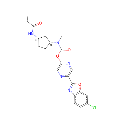 CCC(=O)N[C@H]1CC[C@@H](N(C)C(=O)Oc2cnc(-c3nc4ccc(Cl)cc4o3)cn2)C1